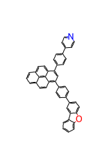 c1cc2ccc3c(-c4ccc(-c5ccncc5)cc4)cc(-c4ccc(-c5ccc6oc7ccccc7c6c5)cc4)c4ccc(c1)c2c34